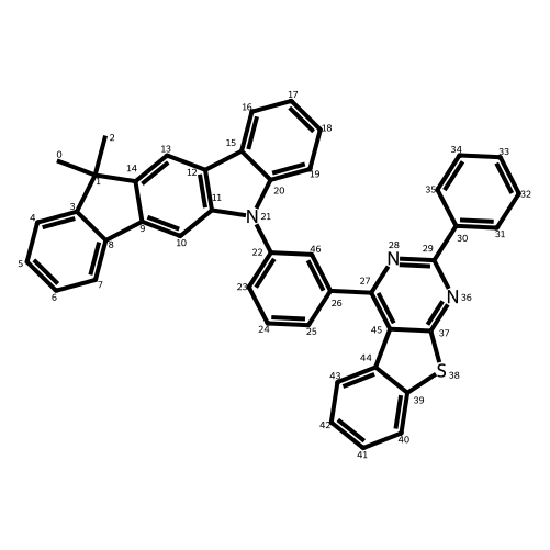 CC1(C)c2ccccc2-c2cc3c(cc21)c1ccccc1n3-c1cccc(-c2nc(-c3ccccc3)nc3sc4ccccc4c23)c1